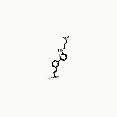 CN(C)CCCNc1cccc(-c2cccc(/C=C/C(=O)O)c2)n1